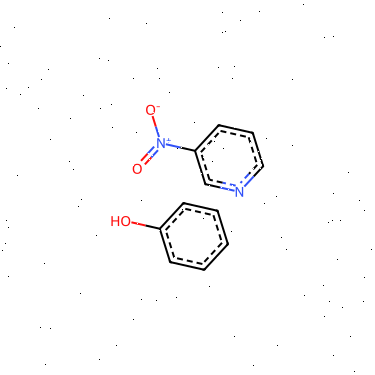 O=[N+]([O-])c1cccnc1.Oc1ccccc1